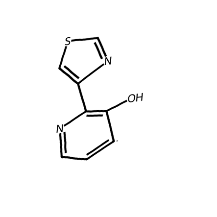 Oc1[c]ccnc1-c1cscn1